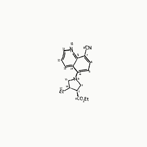 CCOC(=O)[C@@H]1CN(c2ccc(C#N)c3ncccc23)CC1CC